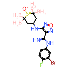 BC1(B)CC(Nc2nonc2C(=N)Nc2ccc(F)c(Br)c2)CC(B)(B)[S+]1[O-]